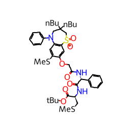 CCCCC1(CCCC)CN(c2ccccc2)c2cc(SC)c(OCC(=O)N[C@@H](C(=O)N[C@@H](CSC)C(=O)OC(C)(C)C)c3ccccc3)cc2S(=O)(=O)C1